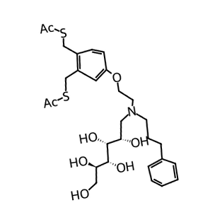 CC(=O)SCc1ccc(OCCN(CCCc2ccccc2)C[C@H](O)[C@@H](O)[C@H](O)[C@H](O)CO)cc1CSC(C)=O